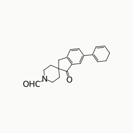 O=CN1CCC2(CC1)Cc1ccc(C3=CCCC=C3)cc1C2=O